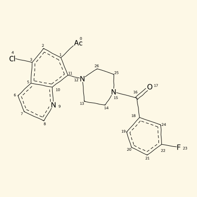 CC(=O)c1cc(Cl)c2cccnc2c1N1CCN(C(=O)c2cccc(F)c2)CC1